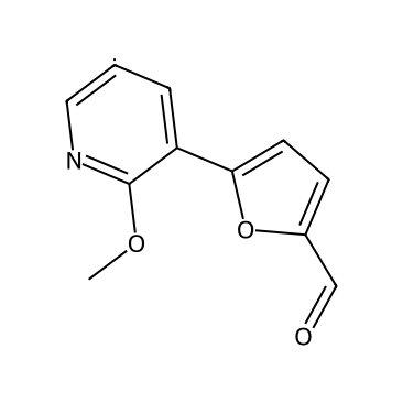 COc1nc[c]cc1-c1ccc(C=O)o1